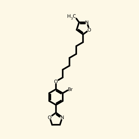 Cc1cc(CCCCCCCOc2ccc(C3=NCCO3)cc2Br)on1